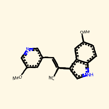 COc1cncc(C=C(C#N)c2c[nH]c3ccc(OC)cc23)c1